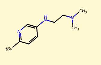 CN(C)CCNc1ccc(C(C)(C)C)nc1